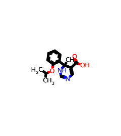 CC(C)Oc1ccccc1C1(C)NC=NC=C1C(=O)O